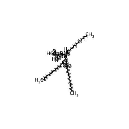 CCCCCCCCCCCCCCCC(=O)N[C@@H](CSCC(COC(=O)CCCCCCCCCCCCCCC)OC(=O)CCCCCCCCCCCCCCC)C(=O)N[C@@H](CO)C(=O)N[C@H]([C]=O)CO